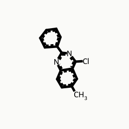 Cc1ccc2nc(-c3ccccc3)nc(Cl)c2c1